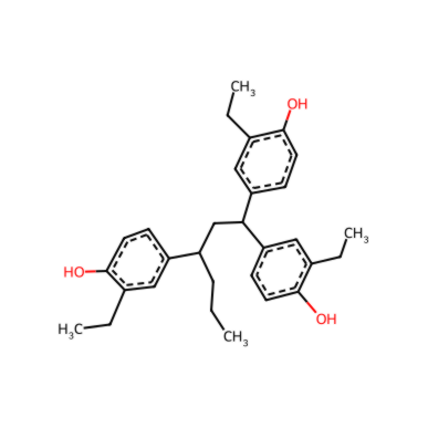 CCCC(CC(c1ccc(O)c(CC)c1)c1ccc(O)c(CC)c1)c1ccc(O)c(CC)c1